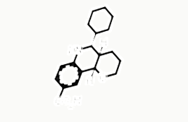 O=C(O)c1ccc2c(c1)[C@H]1OCCC[C@H]1[C@H](C1CCCCC1)N2